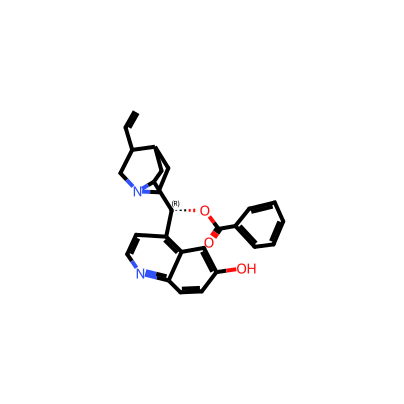 C=CC1CN2CCC1CC2[C@H](OC(=O)c1ccccc1)c1ccnc2ccc(O)cc12